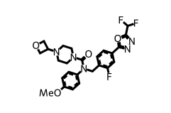 COc1ccc(N(Cc2ccc(-c3nnc(C(F)F)o3)cc2F)C(=O)N2CCN(C3COC3)CC2)cc1